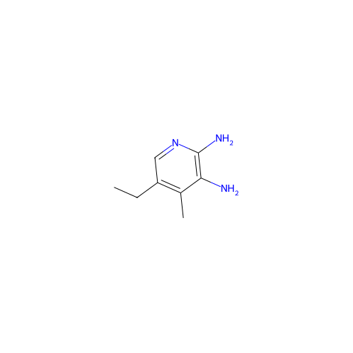 CCc1cnc(N)c(N)c1C